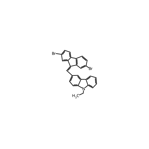 CCn1c2ccccc2c2cc(C=C3c4cc(Br)ccc4-c4ccc(Br)cc43)ccc21